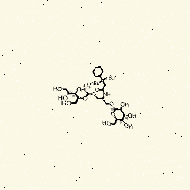 CCCCC(CCCC)(CC(=O)NC(COC(C)OC(CO)[C@H](O)[C@@H](O)CO)CO[C@H]1OC(CO)[C@H](O)[C@@H](O)C1O)C1CCCCC1